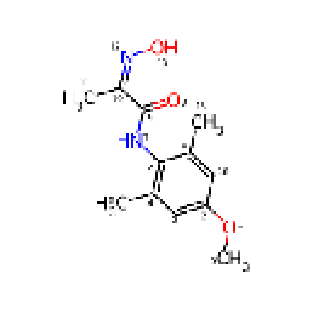 COc1cc(C)c(NC(=O)/C(C)=N\O)c(C)c1